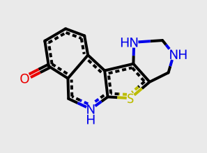 O=c1cccc2c3c4c(sc3[nH]cc1-2)CNCN4